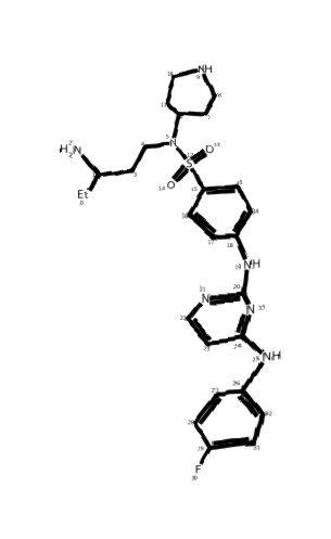 CCC(N)CCN(C1CCNCC1)S(=O)(=O)c1ccc(Nc2nccc(Nc3ccc(F)cc3)n2)cc1